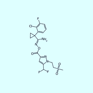 CS(=O)(=O)CCn1nc(C(=O)O/N=C(\N)C2(c3cccc(F)c3Cl)CC2)cc1C(F)F